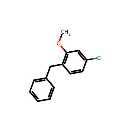 COc1cc(Cl)ccc1Cc1ccccc1